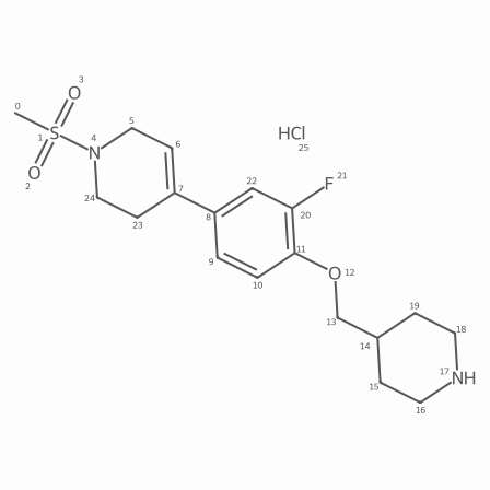 CS(=O)(=O)N1CC=C(c2ccc(OCC3CCNCC3)c(F)c2)CC1.Cl